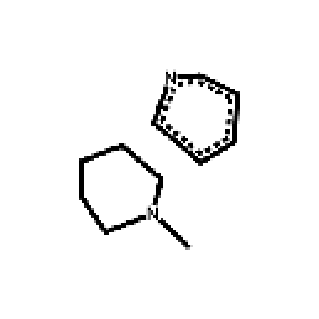 CN1CCCCC1.c1ccncc1